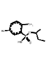 CCC(C)OP(=O)(O)c1cc(Br)ccc1N